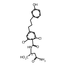 NC(=O)C[C@H](NC(=O)c1c(Cl)cc(CCCc2cccc(O)c2)cc1Cl)C(=O)O